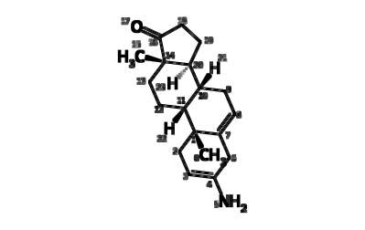 C[C@]12CC=C(N)CC1=CC[C@@H]1[C@H]2CC[C@]2(C)C(=O)CC[C@@H]12